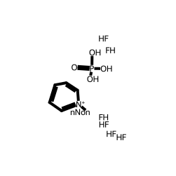 CCCCCCCCC[n+]1ccccc1.F.F.F.F.F.F.O=P(O)(O)O